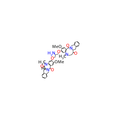 COc1cc2c(cc1OCC(N)COc1cc3c(cc1OC)C(=O)N1Cc4ccccc4C[C@H]1C(=O)N3C)N(C)CCC(=O)C1Cc3ccccc3CN1C2=O